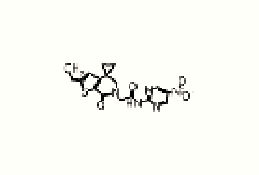 CCc1cc2c(s1)C(=O)N(CC(=O)Nc1ncc([N+](=O)[O-])cn1)CC21CC1